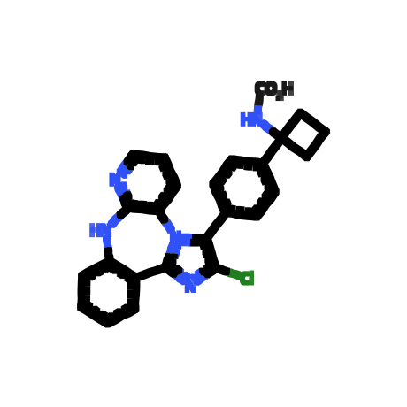 O=C(O)NC1(c2ccc(-c3c(Cl)nc4n3-c3cccnc3Nc3ccccc3-4)cc2)CCC1